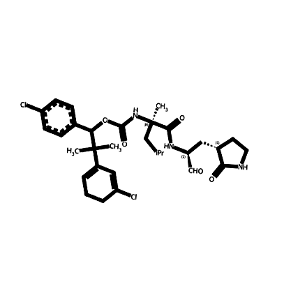 CC(C)C[C@@](C)(NC(=O)OC(c1ccc(Cl)cc1)C(C)(C)C1=CCCC(Cl)=C1)C(=O)N[C@H](C=O)C[C@@H]1CCNC1=O